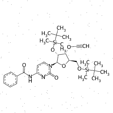 C#CO[C@H]1[C@@H](O[Si](C)(C)C(C)(C)C)[C@H](n2ccc(NC(=O)c3ccccc3)nc2=O)O[C@@H]1CO[Si](C)(C)C(C)(C)C